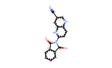 N#Cc1cnc2ccc(N3C(=O)c4ccccc4C3=O)nc2c1